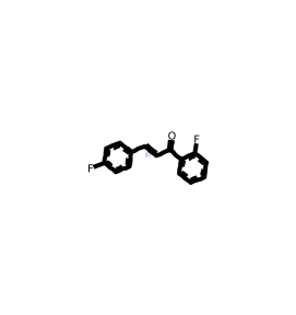 O=C(/C=C/c1ccc(F)cc1)c1ccccc1F